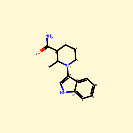 CC1C(C(N)=O)CCCN1c1c[nH]c2ccccc12